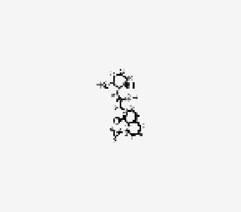 O=c1c2c(C3CC3)cccc2ncn1CC(O)C[C@H]1NCCC[C@@H]1O